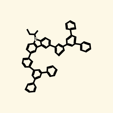 CCC(C)n1c2ccc(-c3cccc(-c4cc(-c5ccccc5)cc(-c5ccccc5)c4)c3)cc2c2cc(-c3cccc(-c4cc(-c5ccccc5)cc(-c5ccccc5)c4)c3)ccc21